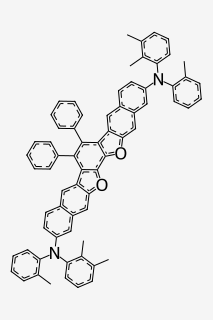 Cc1ccccc1N(c1ccc2cc3c(cc2c1)oc1c2oc4cc5cc(N(c6ccccc6C)c6cccc(C)c6C)ccc5cc4c2c(-c2ccccc2)c(-c2ccccc2)c31)c1cccc(C)c1C